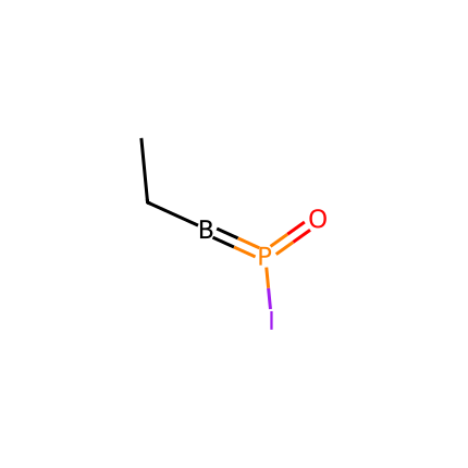 CCB=P(=O)I